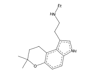 CCNCCc1c[nH]c2ccc3c(c12)CCC(C)(C)O3